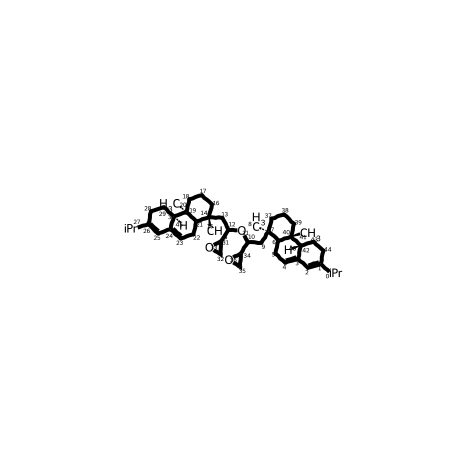 CC(C)C1=CC2=CCC3[C@@](C)(CC(OC(C[C@@]4(C)CCC[C@@]5(C)C4CC=C4C=C(C(C)C)CC[C@H]45)C4CO4)C4CO4)CCC[C@]3(C)[C@@H]2CC1